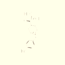 CN(C)C(=O)C1CCN(Cc2ccc(Br)cc2)CC1